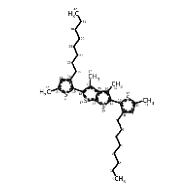 CCCCCCCCc1cc(C)sc1-c1sc2sc(-c3sc(C)cc3CCCCCCCC)c(C)c2c1C